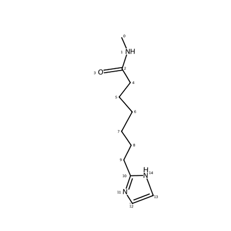 CNC(=O)CCCCCCc1n[c]c[nH]1